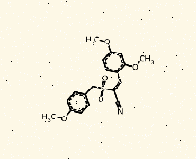 COc1ccc(CS(=O)(=O)/C(C#N)=C\c2ccc(OC)cc2OC)cc1